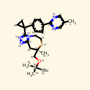 Cc1cnc(-c2ccc(C3(c4nnc5n4CCS[C@@](C)(CO[Si](C)(C)C(C)(C)C)C5)CC3)cc2)nc1